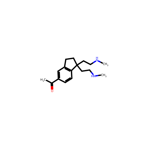 CNCCC1(CCNC)CCc2cc(C(C)=O)ccc21